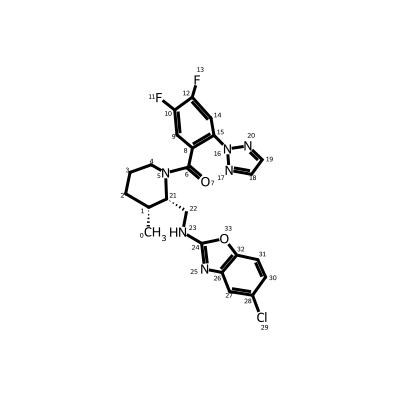 C[C@@H]1CCCN(C(=O)c2cc(F)c(F)cc2-n2nccn2)[C@@H]1CNc1nc2cc(Cl)ccc2o1